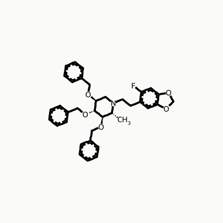 C[C@@H]1[C@@H](OCc2ccccc2)[C@H](OCc2ccccc2)[C@@H](OCc2ccccc2)CN1CCc1cc2c(cc1F)OCO2